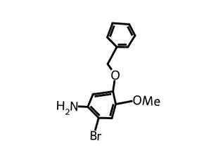 COc1cc(Br)c(N)cc1OCc1ccccc1